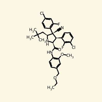 CCOCc1ccc(NC(=O)[C@H]2N[C@@H](CC(C)(C)C)[C@](C#N)(c3ccc(Cl)cc3F)[C@H]2c2cccc(Cl)c2F)c(OC)c1